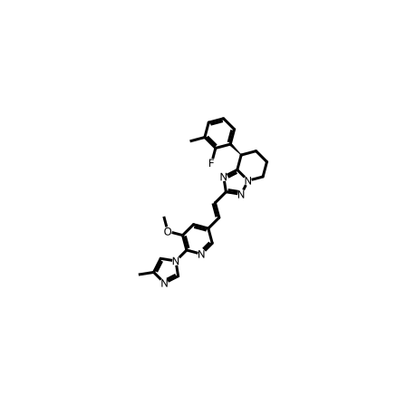 COc1cc(/C=C/c2nc3n(n2)CCC[C@@H]3c2cccc(C)c2F)cnc1-n1cnc(C)c1